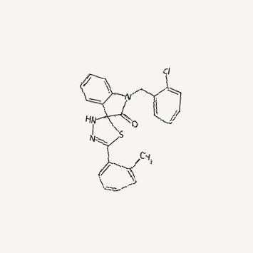 Cc1ccccc1C1=NNC2(S1)C(=O)N(Cc1ccccc1Cl)c1ccccc12